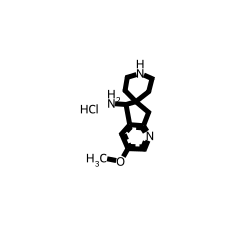 COc1cnc2c(c1)C(N)C1(CCNCC1)C2.Cl